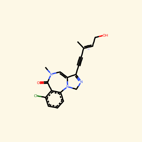 C/C(C#CC1=NCN2C1=CN(C)C(=O)c1c(Cl)cccc12)=C\CO